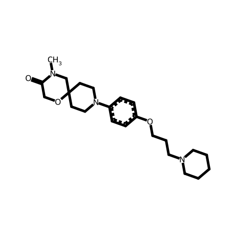 CN1CC2(CCN(c3ccc(OCCCN4CCCCC4)cc3)CC2)OCC1=O